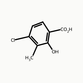 Cc1c(Cl)ccc(C(=O)O)c1O